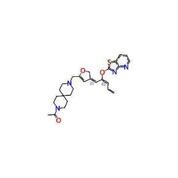 C=C/C=C(\C=C1\C=C(CN2CCC3(CC2)CCN(C(C)=O)CC3)OC1)Oc1nc2ncccc2s1